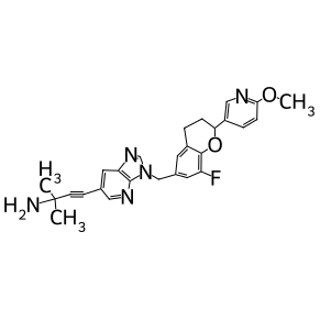 COc1ccc(C2CCc3cc(Cn4cnc5cc(C#CC(C)(C)N)cnc54)cc(F)c3O2)cn1